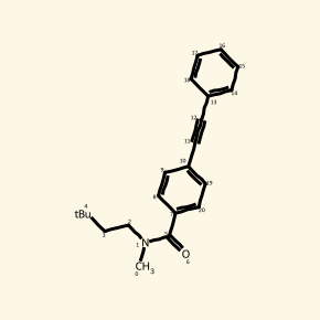 CN(CCC(C)(C)C)C(=O)c1ccc(C#Cc2ccccc2)cc1